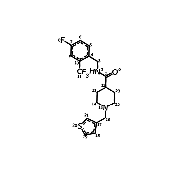 O=C(NCc1ccc(F)cc1C(F)(F)F)C1CCN(Cc2ccsc2)CC1